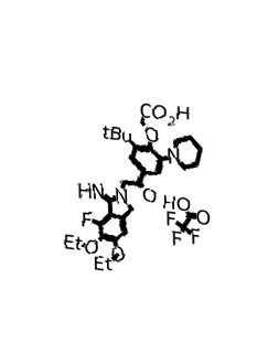 CCOc1cc2c(c(F)c1OCC)C(=N)N(CC(=O)c1cc(N3CCCCC3)c(OCC(=O)O)c(C(C)(C)C)c1)C2.O=C(O)C(F)(F)F